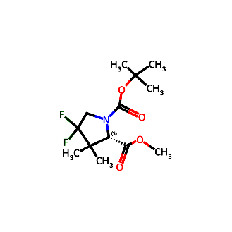 COC(=O)[C@H]1N(C(=O)OC(C)(C)C)CC(F)(F)C1(C)C